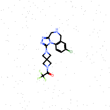 O=C(N1CC2(C1)CN(c1nnc3n1-c1ccc(Cl)cc1CNC3)C2)C(F)(F)F